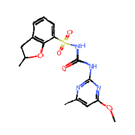 COc1cc(C)nc(NC(=O)NS(=O)(=O)c2cccc3c2OC(C)C3)n1